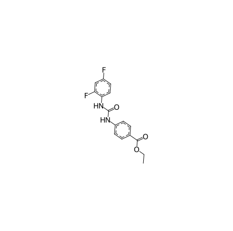 CCOC(=O)c1ccc(NC(=O)Nc2ccc(F)cc2F)cc1